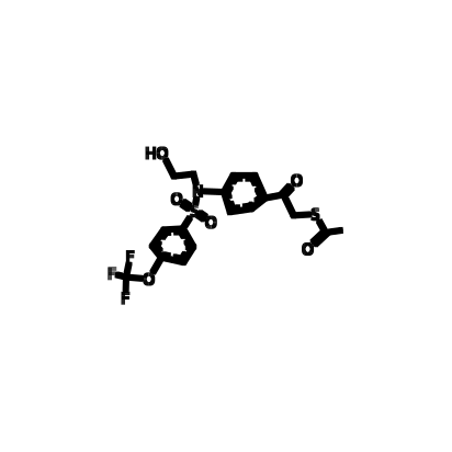 CC(=O)SCC(=O)c1ccc(N(CCO)S(=O)(=O)c2ccc(OC(F)(F)F)cc2)cc1